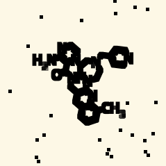 Cc1cccc2cc(CNC(=O)c3nccnc3N)c(N3CCCN(Cc4ccncc4)CC3)nc12